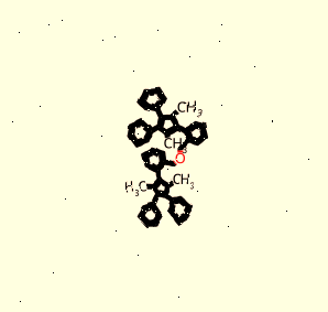 CC1=C(c2ccccc2COCc2ccccc2C2=C(C)C(c3ccccc3)=C(c3ccccc3)C2C)C(C)C(c2ccccc2)=C1c1ccccc1